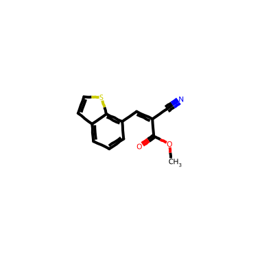 COC(=O)C(C#N)=Cc1cccc2ccsc12